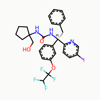 O=C(NC1(CO)CCCC1)N[C@](Cc1ccccc1)(c1cccc(OC(F)(F)C(F)F)c1)c1ccc(I)cn1